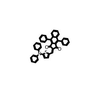 O=C1C(=Cc2ccc(N(c3ccccc3)c3ccccc3)s2)C(=O)c2c1c(-c1ccccc1)c1ccccc1c2-c1ccccc1